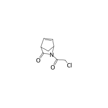 O=C(CCl)N1C(=O)C2C=CC1C2